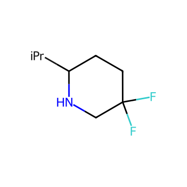 CC(C)C1CCC(F)(F)CN1